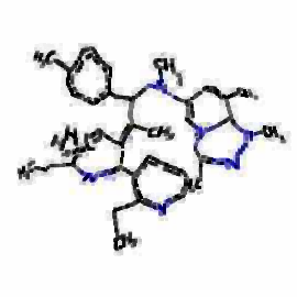 C=CC(/C(=N\C(C)CC)c1cccnc1CC)=C(/C)C(c1ccc(C)cc1)N(C)C1=CN2C(C)=NN(C)C2C(C)=C1